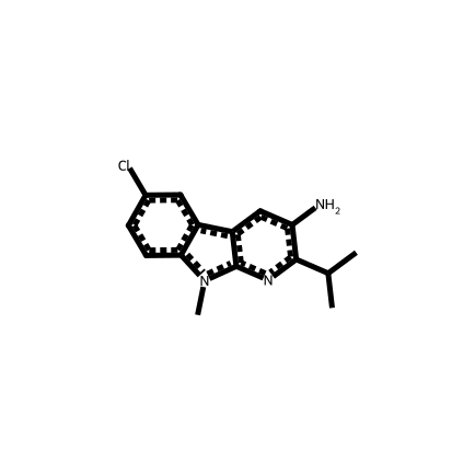 CC(C)c1nc2c(cc1N)c1cc(Cl)ccc1n2C